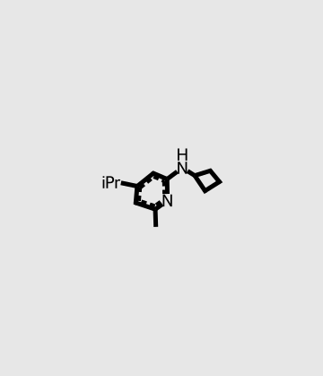 Cc1cc(C(C)C)cc(NC2CCC2)n1